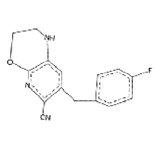 N#Cc1nc2c(cc1Cc1ccc(F)cc1)NCCO2